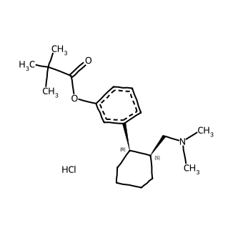 CN(C)C[C@H]1CCCC[C@H]1c1cccc(OC(=O)C(C)(C)C)c1.Cl